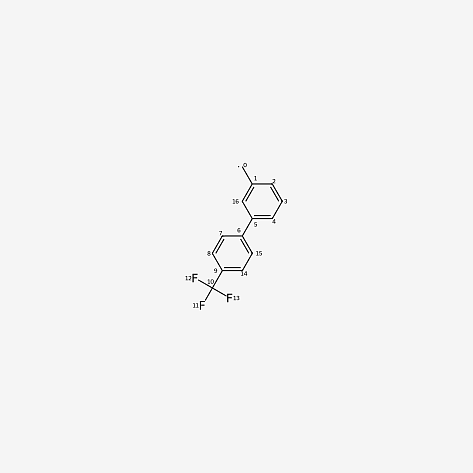 [CH2]c1cccc(-c2ccc(C(F)(F)F)cc2)c1